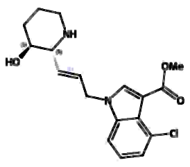 COC(=O)c1cn(C/C=C/[C@H]2NCCC[C@@H]2O)c2cccc(Cl)c12